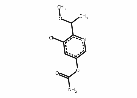 COC(C)c1ncc(OC(N)=O)cc1Cl